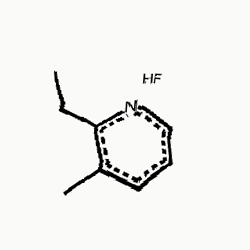 CCc1ncccc1C.F